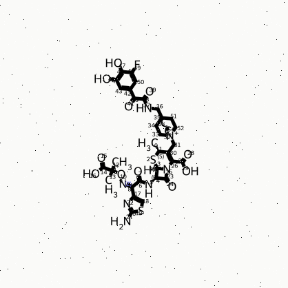 C[C@@H]1S[C@@H]2[C@H](NC(=O)/C(=N\OC(C)(C)C(=O)O)c3csc(N)n3)C(=O)N2C(C(=O)O)=C1C[N+]12CCC(CNC(=O)C(=O)c3cc(O)c(O)c(F)c3)(CC1)CC2